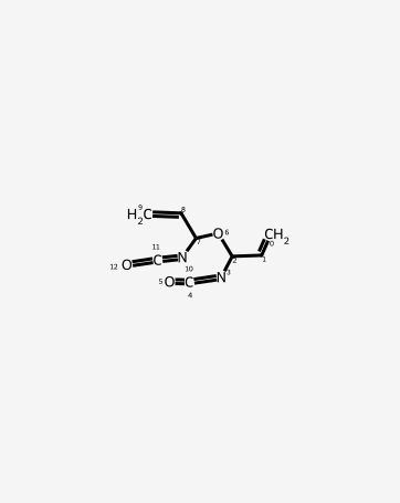 C=CC(N=C=O)OC(C=C)N=C=O